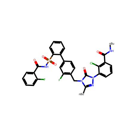 CCCCNC(=O)c1cccc(-n2nc(CCCC)n(Cc3ccc(-c4ccccc4S(=O)(=O)NC(=O)c4ccccc4F)cc3F)c2=O)c1Cl